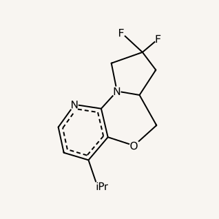 CC(C)c1ccnc2c1OCC1CC(F)(F)CN21